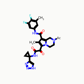 CC(=O)N1CCn2c(c(C(=O)Nc3cc(C)c(F)c(F)c3)c(C)c2C(=O)C(=O)NC2(c3c[nH]nn3)CC2)C1